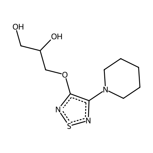 OCC(O)COc1nsnc1N1CCCCC1